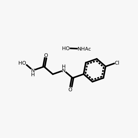 CC(=O)NO.O=C(CNC(=O)c1ccc(Cl)cc1)NO